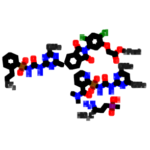 CCCCCOC(=O)COc1cc(N2C(=O)C3=C(CCCC3)C2=O)c(F)cc1Cl.COc1cc(OC)nc(NC(=O)NS(=O)(=O)c2ncccc2C(=O)N(C)C)n1.COc1nc(C)nc(NC(=O)NS(=O)(=O)c2ccccc2CCC(F)(F)F)n1.CP(=O)(O)CCC(N)C(=O)O